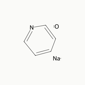 [Na].[O].c1ccncc1